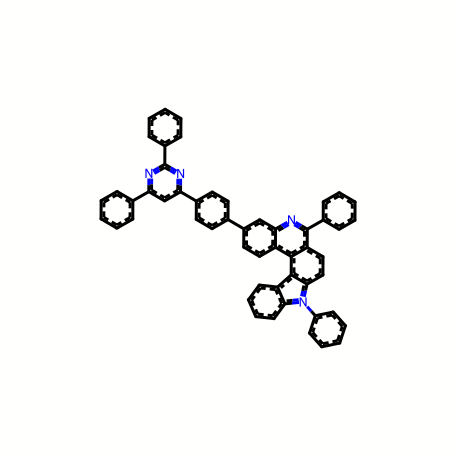 c1ccc(-c2cc(-c3ccc(-c4ccc5c(c4)nc(-c4ccccc4)c4ccc6c(c7ccccc7n6-c6ccccc6)c45)cc3)nc(-c3ccccc3)n2)cc1